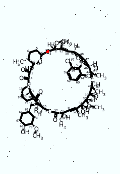 CO[C@H]1C[C@@H]2CC[C@@H](C)[C@@](O)(O2)C(=O)C(=O)N2CCCC3[C@H]2C(=O)O[C@@H](CC(=O)[C@H](C)/C=C(\C)[C@@H](O)[C@@H](OC)C(=O)[C@H](C)C[C@H](C)[C@@H]2C=C[C@H](/C=C/1C)ON2c1c(Cl)cccc1Cl)[C@H]3C[C@@H]1CC[C@@H](O)[C@H](OC)C1